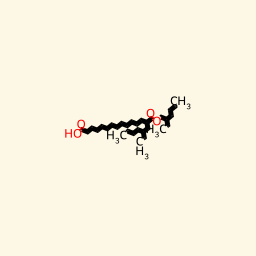 CCCCC(CC)COC(=O)C(CCCCCCCCCCCCC(=O)O)CC(CC)CCCC